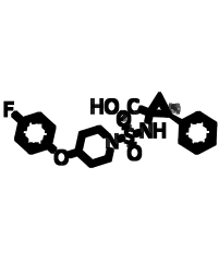 O=C(O)C1(NS(=O)(=O)N2CCC(Oc3ccc(F)cc3)CC2)C[C@H]1c1ccccc1